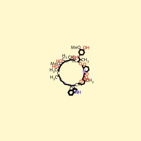 CO[C@H]1[C@@H](O)[C@H](C)C[C@H](C)/C=C/C=C/C=C(\C)[C@@H](c2c[nH]c3ccccc23)C[C@@H]2CC[C@@H](C)[C@@](O)(O2)C(=O)C(=O)N2CCCCC2C(=O)O[C@H]([C@H](C)C[C@@H]2CC[C@@H](O)[C@H](OC)C2)C[C@H](O)[C@H](C)/C=C(\C)[C@H]1O